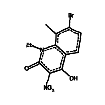 CCn1c(=O)c([N+](=O)[O-])c(O)c2ccc(Br)c(C)c21